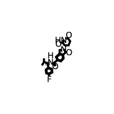 CC(C)[C@H](NC(=O)c1ccc2c(c1)CN(C1CCC(=O)NC1=O)C2=O)c1ccc(F)cc1